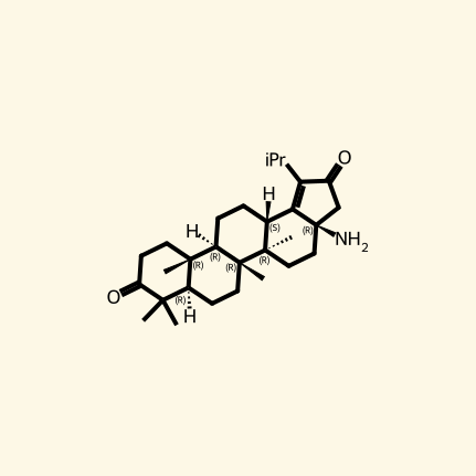 CC(C)C1=C2[C@H]3CC[C@@H]4[C@@]5(C)CCC(=O)C(C)(C)[C@@H]5CC[C@@]4(C)[C@]3(C)CC[C@@]2(N)CC1=O